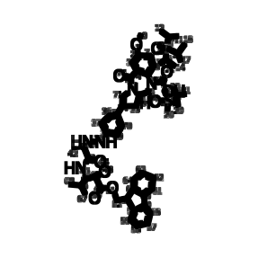 COc1cc2c(cc1O[Si](C(C)C)(C(C)C)C(C)C)N(C(=O)O)[C@@H](O[Si](C)(C)C(C)(C)C)[C@@H]1CC(c3ccc(NN[C@H](C)C(=O)N[C@H](C(=O)C(=O)OCC4c5ccccc5-c5ccccc54)C(C)C)cc3)=CN1C2=O